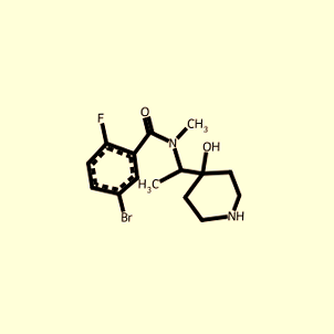 CC(N(C)C(=O)c1cc(Br)ccc1F)C1(O)CCNCC1